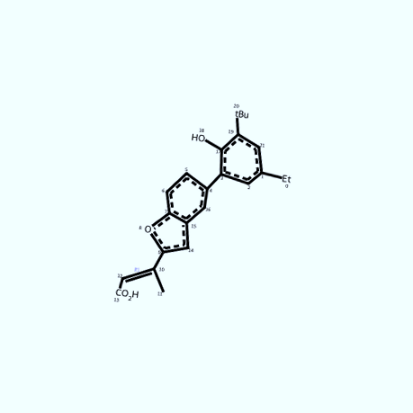 CCc1cc(-c2ccc3oc(/C(C)=C/C(=O)O)cc3c2)c(O)c(C(C)(C)C)c1